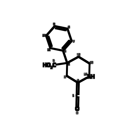 O=C=C1CC(C(=O)O)(c2ccccc2)CCN1